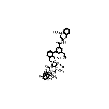 COc1c(CN2O[C@@H](CO)[C@H]([C@H](C)O)[C@H]2C(=O)N[C@H]2C[C@H]3C[C@@H]([C@@H]2C)C3(C)C)cccc1-c1cc(CO)cc(C(=O)N[C@@H](Cc2ccccc2)CN(C)C)c1